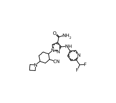 N#CC1CC(N2CCC2)CCC1n1cc(C(N)=O)c(Nc2ccc(C(F)F)nc2)n1